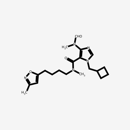 Cc1cc(CCCCN(C)C(=O)c2c(N(C)C=O)ncn2CC2CCC2)on1